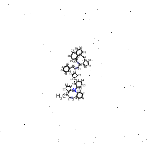 C=C1/C=C\c2ccccc2N(c2cccc(C3=CC=C(/C(=C/C4=C/c5cccc6cccc(c56)CC5C=CC=C45)Cc4ccccc4)C3)c2)C2=C1CC=C2